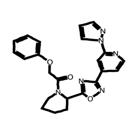 O=C(COc1ccccc1)N1CCCCC1c1nc(-c2ccnc(-n3cccn3)c2)no1